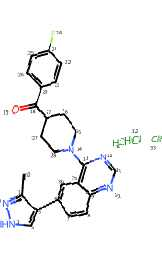 Cc1n[nH]cc1-c1ccc2ncnc(N3CCC(C(=O)c4ccc(F)cc4)CC3)c2c1.Cl.Cl.Cl